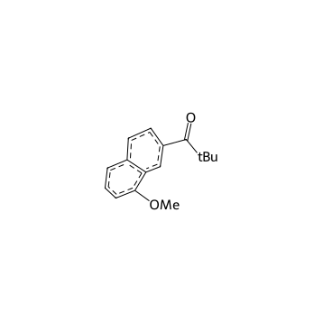 COc1cccc2ccc(C(=O)C(C)(C)C)cc12